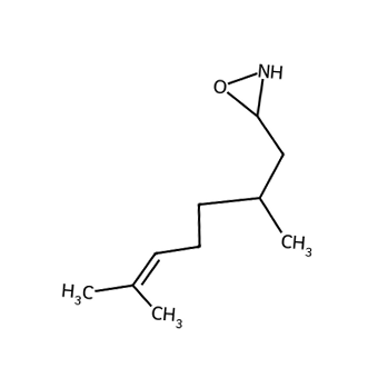 CC(C)=CCCC(C)CC1NO1